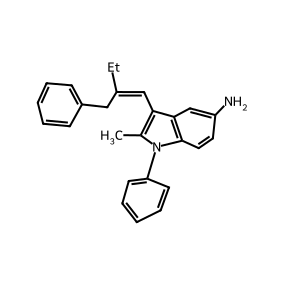 CC/C(=C/c1c(C)n(-c2ccccc2)c2ccc(N)cc12)Cc1ccccc1